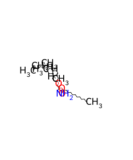 CCCCCCCCCCCC(=O)OC(CN)CO[C@H]1CC[C@@]2(C)C(=CC[C@H]3[C@@H]4CC[C@H]([C@H](C)CCCC(C)C)[C@@]4(C)CC[C@@H]32)C1